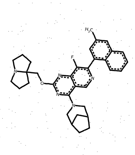 Cc1cc(-c2ncc3c(N4CC5CCC(C5)C4)nc(OCC45CCCN4CCC5)nc3c2F)c2ccccc2c1